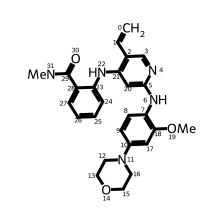 C=Cc1cnc(Nc2ccc(N3CCOCC3)cc2OC)cc1Nc1ccccc1C(=O)NC